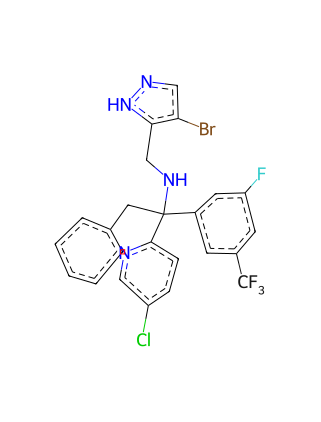 Fc1cc(C(F)(F)F)cc(C(Cc2ccccc2)(NCc2[nH]ncc2Br)c2ccc(Cl)cn2)c1